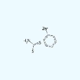 NC(=S)[S-].[Zn+][c]1ccccc1